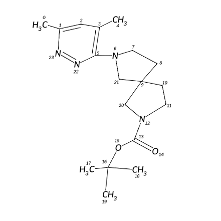 Cc1cc(C)c(N2CCC3(CCN(C(=O)OC(C)(C)C)C3)C2)nn1